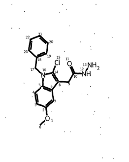 COc1ccc2c(c1)c(CC(=O)NN)c(Cl)n2Cc1ccccc1